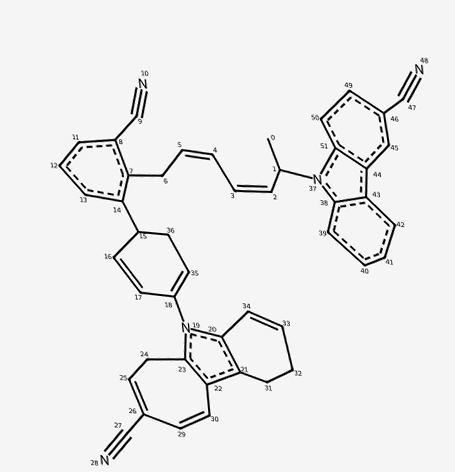 CC(/C=C\C=C/Cc1c(C#N)cccc1C1C=CC(n2c3c(c4c2CC=C(C#N)C=C4)CCC=C3)=CC1)n1c2ccccc2c2cc(C#N)ccc21